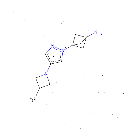 NC12CC(n3cc(N4CC(C(F)(F)F)C4)cn3)(C1)C2